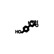 O=c1cc(-c2ccc(CO)cc2)nc[nH]1